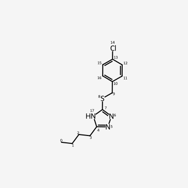 CCCCc1nnc(SCc2ccc(Cl)cc2)[nH]1